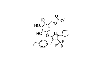 CCc1ccc(Cc2c(OC3OC(COC(=O)OC)C(O)C(O)C3O)nn(C3CCCC3)c2C(F)(F)F)cc1